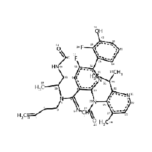 C=CCCN(/C(=N/C)c1cc(F)c(-c2cccc(O)c2F)nc1N(C=O)c1c(C)ccnc1C(C)C)C(C)CNC=O